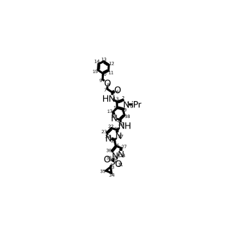 CC(C)n1cc(NC(=O)COCc2ccccc2)c2cnc(Nc3ccnc(-c4cnn(S(=O)(=O)C5CC5)c4)n3)cc21